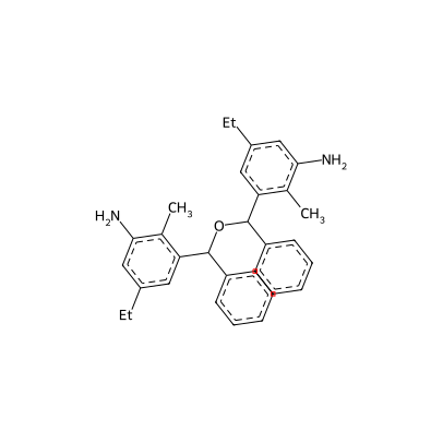 CCc1cc(N)c(C)c(C(OC(c2ccccc2)c2cc(CC)cc(N)c2C)c2ccccc2)c1